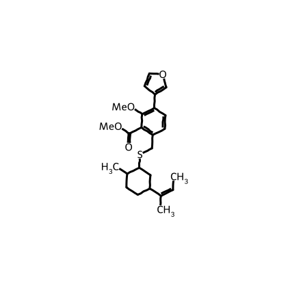 C/C=C(/C)C1CCC(C)C(SCc2ccc(-c3ccoc3)c(OC)c2C(=O)OC)C1